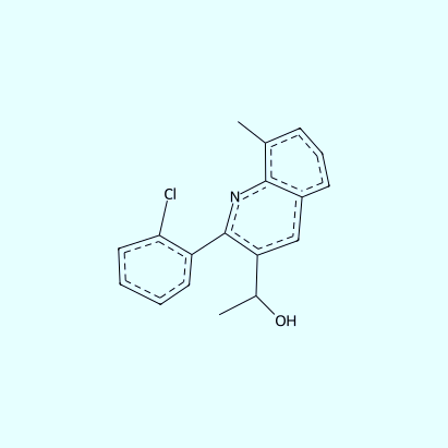 Cc1cccc2cc(C(C)O)c(-c3ccccc3Cl)nc12